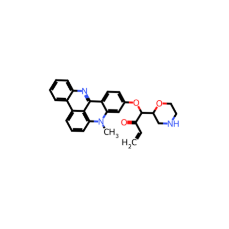 C=CC(=O)C(Oc1ccc2c(c1)N(C)c1cccc3c1c-2nc1ccccc13)C1CNCCO1